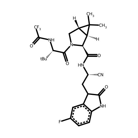 CC(C)(C)[C@H](NC(=O)C(F)(F)F)C(=O)N1C[C@H]2[C@H]([C@H]1C(=O)N[C@H](C#N)CC1C(=O)Nc3ccc(F)cc31)C2(C)C